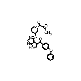 CC1OC1C(=O)N1CCCC(Nc2ncnc3[nH]cc(C(=O)c4ccc(Oc5ccccc5)cc4)c23)C1